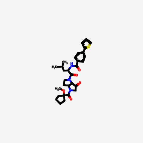 COC1(C(=O)N2CC(=O)C3C2CCN3C(=O)C(CC(C)C)NC(=O)c2ccc(-c3cccs3)cc2)CCCC1